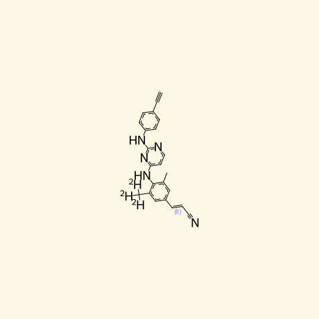 [2H]C([2H])([2H])c1cc(/C=C/C#N)cc(C)c1Nc1ccnc(Nc2ccc(C#C)cc2)n1